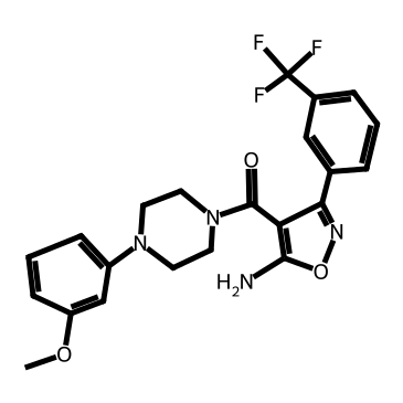 COc1cccc(N2CCN(C(=O)c3c(-c4cccc(C(F)(F)F)c4)noc3N)CC2)c1